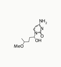 COC(C)CCC(O)n1ccc(N)nc1=O